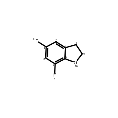 Fc1cc(F)c2c(c1)CCO2